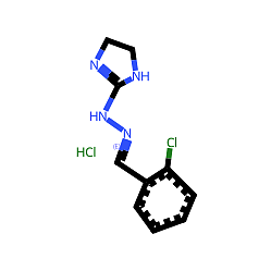 Cl.Clc1ccccc1/C=N/NC1=NCCN1